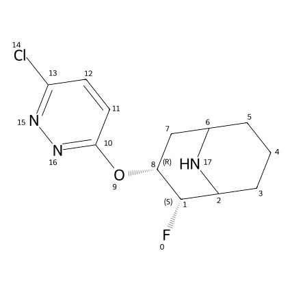 F[C@H]1C2CCCC(C[C@H]1Oc1ccc(Cl)nn1)N2